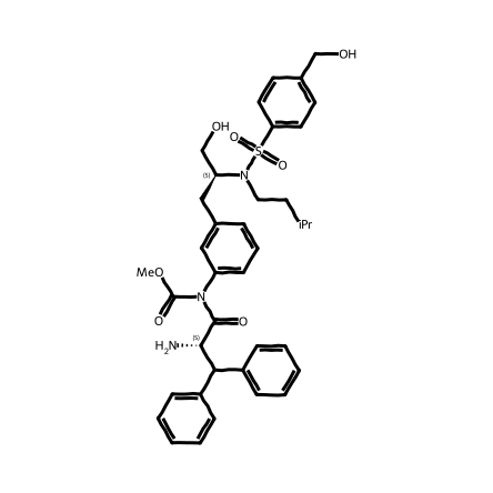 COC(=O)N(C(=O)[C@@H](N)C(c1ccccc1)c1ccccc1)c1cccc(C[C@@H](CO)N(CCC(C)C)S(=O)(=O)c2ccc(CO)cc2)c1